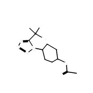 CC(=O)NC1CCC(n2nnnc2C(F)(F)F)CC1